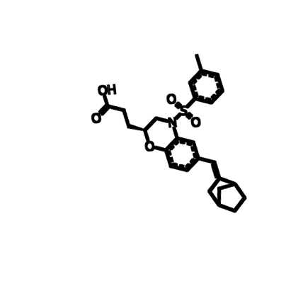 Cc1cccc(S(=O)(=O)N2C[C@H](CCC(=O)O)Oc3ccc(/C=C4\CC5CCC4C5)cc32)c1